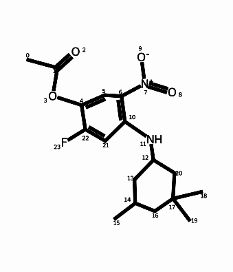 CC(=O)Oc1cc([N+](=O)[O-])c(NC2CC(C)CC(C)(C)C2)cc1F